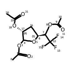 CC(=O)OC1O[C@H](C(OC(C)=O)C(F)(F)F)C[C@H]1OC(C)=O